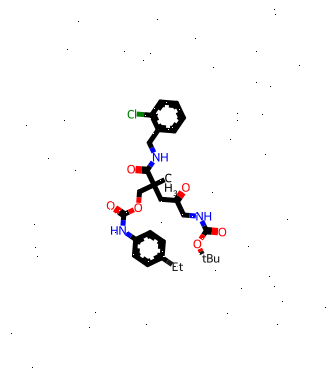 CCc1ccc(NC(=O)OCC(C)(CC(=O)CNC(=O)OC(C)(C)C)C(=O)NCc2ccccc2Cl)cc1